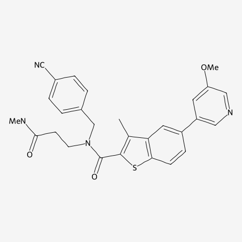 CNC(=O)CCN(Cc1ccc(C#N)cc1)C(=O)c1sc2ccc(-c3cncc(OC)c3)cc2c1C